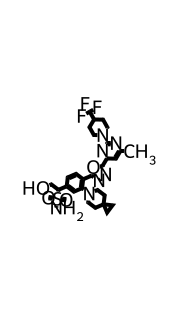 Cc1cc(-c2nnc(-c3ccc(C(CO)S(N)(=O)=O)cc3N3CCC4(CC3)CC4)o2)nc(N2CCC(C(F)(F)F)CC2)n1